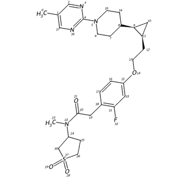 Cc1cnc(N2CCC([C@H]3C[C@H]3CCOc3ccc(CC(=O)N(C)C4CCS(=O)(=O)C4)c(F)c3)CC2)nc1